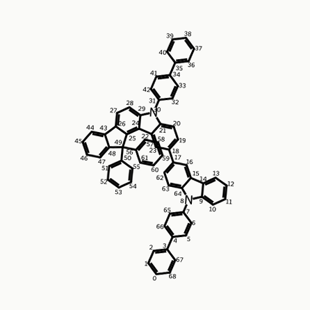 c1ccc(-c2ccc(-n3c4ccccc4c4cc(-c5ccc6c(c5)c5c7c(ccc5n6-c5ccc(-c6ccccc6)cc5)-c5ccccc5C7(c5ccccc5)c5ccccc5)ccc43)cc2)cc1